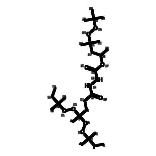 CCC(C)(C)OOC(C)(CCC(=O)NNC(=O)OC(C)CC(C)(C)OOC(C)(C)C)OOC(C)(C)CC